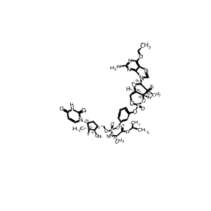 CCOc1nc(N)nc2c1ncn2[C@@H]1O[C@@H]2COP(=O)(Oc3cccc(OP(=O)(N[C@@H](C)C(=O)OC(C)C)OC[C@H]4C[C@@H](n5ccc(=O)[nH]c5=O)[C@](C)(F)[C@@H]4O)c3)O[C@H]2[C@@]1(C)F